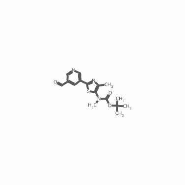 Cc1nc(-c2cncc(C=O)c2)sc1N(C)C(=O)OC(C)(C)C